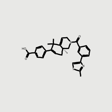 Cc1nc(-c2cccc(C(=O)N3CC=C4C(C)(C)C(c5ccc(C(=O)O)cc5)=CC[C@]4(C)C3)c2)cs1